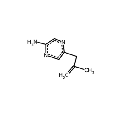 C=C(C)Cc1cnc(N)cn1